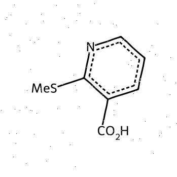 CSc1ncccc1C(=O)O